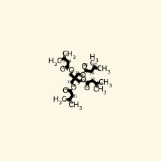 CC(C)CC(=O)OCC(COC(=O)CC(C)C)(COC(=O)CC(C)C)COC(=O)CC(C)C